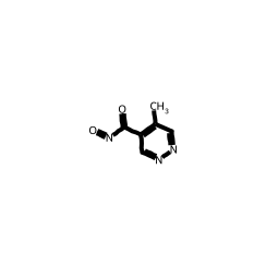 Cc1cnncc1C(=O)N=O